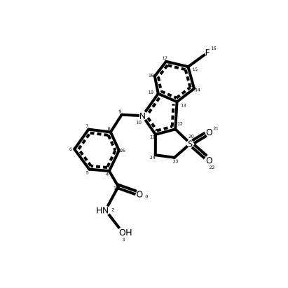 O=C(NO)c1cccc(Cn2c3c(c4cc(F)ccc42)S(=O)(=O)CC3)c1